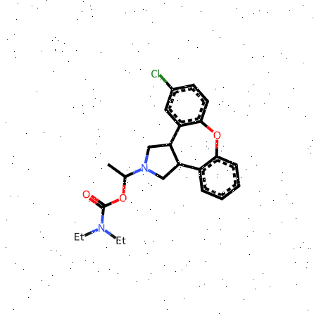 CCN(CC)C(=O)OC(C)N1CC2c3ccccc3Oc3ccc(Cl)cc3C2C1